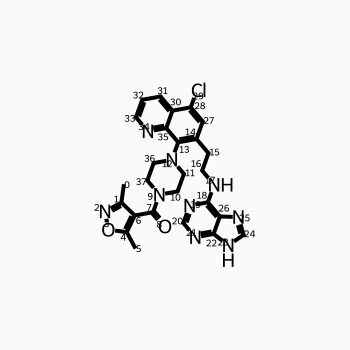 Cc1noc(C)c1C(=O)N1CCN(c2c(CCNc3ncnc4[nH]cnc34)cc(Cl)c3cccnc23)CC1